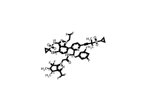 C[C@@H]1c2c(C(F)F)nn(CC(=O)N[C@@H](Cc3cc(F)cc(F)c3)c3nc(C#CC(C)(C)S(=O)(=O)C4CC4)ccc3-c3ccc(Cl)c4c(NS(=O)(=O)C5(C)CC5)nn(CC(F)F)c34)c2C(F)(F)[C@@H]1C